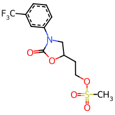 CS(=O)(=O)OCCC1CN(c2cccc(C(F)(F)F)c2)C(=O)O1